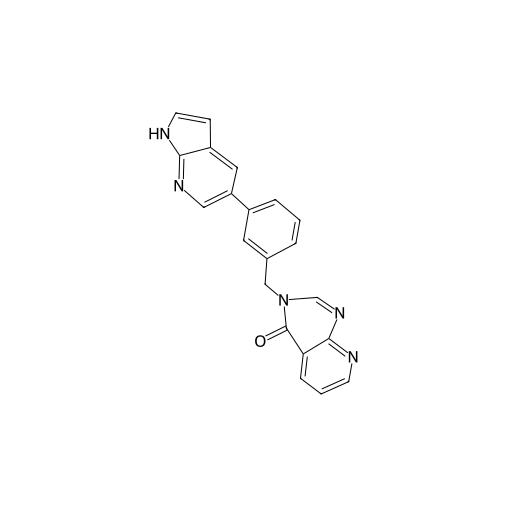 O=c1c2cccnc2ncn1Cc1cccc(-c2cnc3[nH]ccc3c2)c1